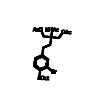 CCCCCCCCc1ccc(CCC(COC(C)=O)(COC(C)=O)NC(C)=O)cc1Br